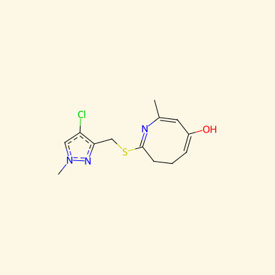 CC1=C/C(O)=C\CC/C(SCc2nn(C)cc2Cl)=N\1